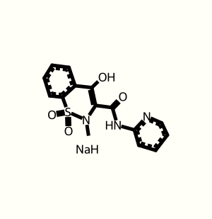 CN1C(C(=O)Nc2ccccn2)=C(O)c2ccccc2S1(=O)=O.[NaH]